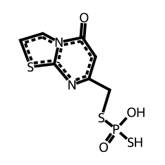 O=c1cc(CSP(=O)(O)S)nc2sccn12